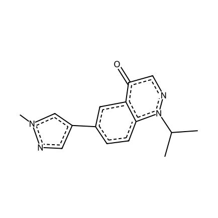 CC(C)n1ncc(=O)c2cc(-c3cnn(C)c3)ccc21